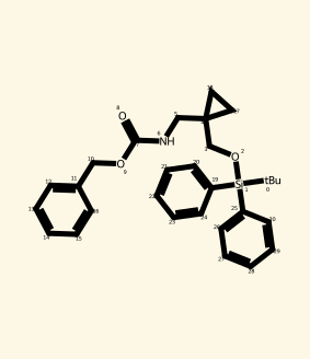 CC(C)(C)[Si](OCC1(CNC(=O)OCc2ccccc2)CC1)(c1ccccc1)c1ccccc1